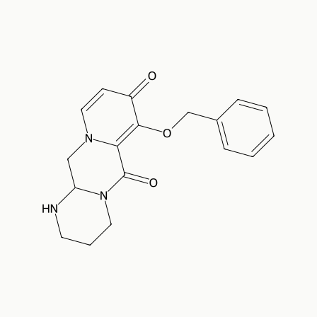 O=C1c2c(OCc3ccccc3)c(=O)ccn2CC2NCCCN12